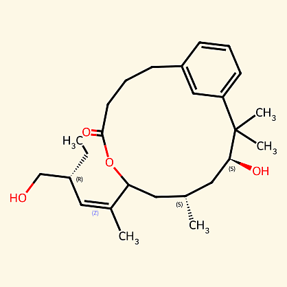 CC[C@H](/C=C(/C)C1C[C@@H](C)C[C@H](O)C(C)(C)c2cccc(c2)CCCC(=O)O1)CO